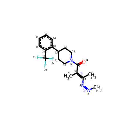 C/N=N\C(C)=C(/C)C(=O)N1CCC(c2ccccc2C(F)(F)F)CC1